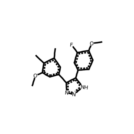 COc1ccc(-c2[nH]nnc2-c2cc(C)c(C)c(OC)c2)cc1F